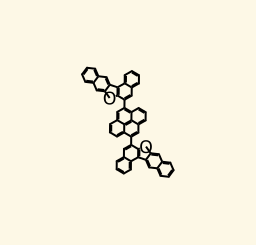 c1ccc2cc3c(cc2c1)oc1c(-c2cc4cccc5c(-c6cc7ccccc7c7c6oc6cc8ccccc8cc67)cc6cccc2c6c45)cc2ccccc2c13